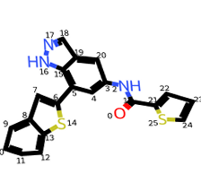 O=C(Nc1cc(-c2cc3ccccc3s2)c2[nH]ncc2c1)c1cccs1